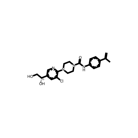 C=C(C)c1ccc(NC(=O)N2CCN(c3ncc([C@H](O)CO)cc3Cl)CC2)cc1